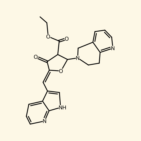 CCOC(=O)C1C(=O)/C(=C/c2c[nH]c3ncccc23)OC1N1CCc2ncccc2C1